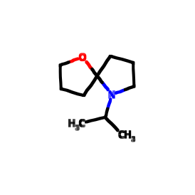 CC(C)N1CCCC12CCCO2